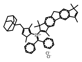 CC1=CC(C)(C)c2cc3c(cc21)-c1cc2c(cc1C3)C(C)(C)[C]([Zr+2]([C]1=C(C)C(CC34CC5CC(CC(C5)C3)C4)=CC1C)=[C](c1ccccc1)c1ccccc1)=C2C.[Cl-].[Cl-]